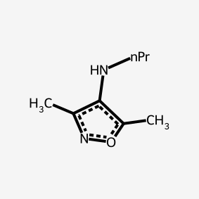 CCCNc1c(C)noc1C